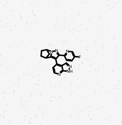 Fc1ccc(-c2nn3c(c2-c2ccnc4[nH]ncc24)C2CCC3C2)nc1